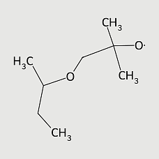 CCC(C)OCC(C)(C)[O]